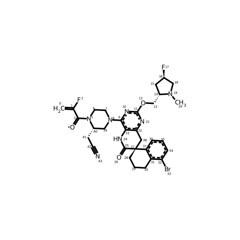 C=C(F)C(=O)N1CCN(c2nc(OC[C@@H]3C[C@@H](F)CN3C)nc3c2NC(=O)[C@]2(CCCc4c(Br)cccc42)C3)C[C@@H]1CC#N